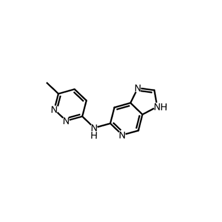 Cc1ccc(Nc2cc3nc[nH]c3cn2)nn1